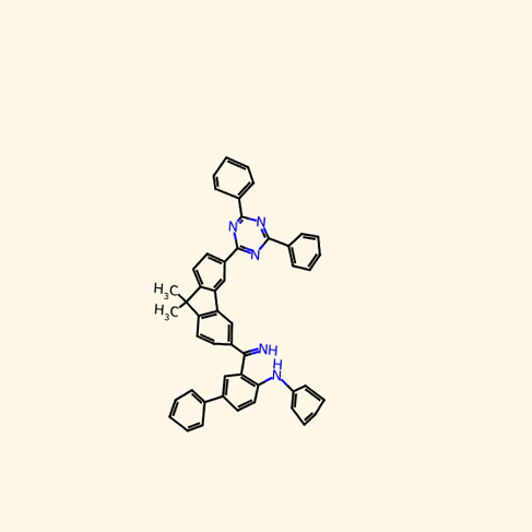 CC1(C)c2ccc(C(=N)c3cc(-c4ccccc4)ccc3Nc3ccccc3)cc2-c2cc(-c3nc(-c4ccccc4)nc(-c4ccccc4)n3)ccc21